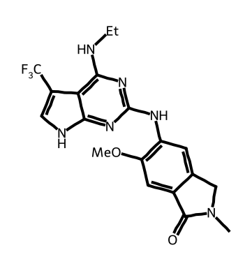 CCNc1nc(Nc2cc3c(cc2OC)C(=O)N(C)C3)nc2[nH]cc(C(F)(F)F)c12